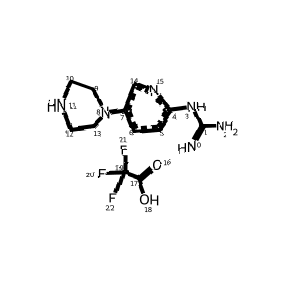 N=C(N)Nc1ccc(N2CCNCC2)cn1.O=C(O)C(F)(F)F